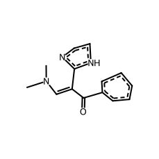 CN(C)C=C(C(=O)c1ccccc1)c1ncc[nH]1